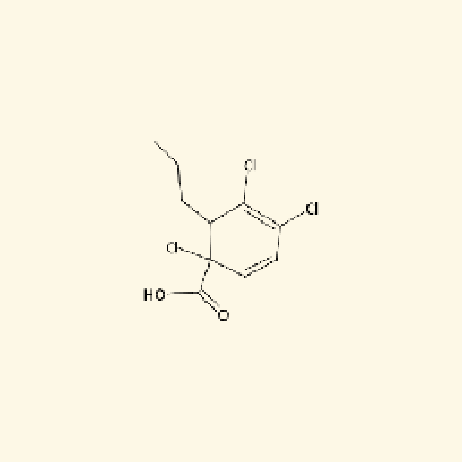 CCCC1C(Cl)=C(Cl)C=CC1(Cl)C(=O)O